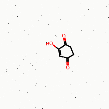 O=C1C=C(O)C(=O)CC1